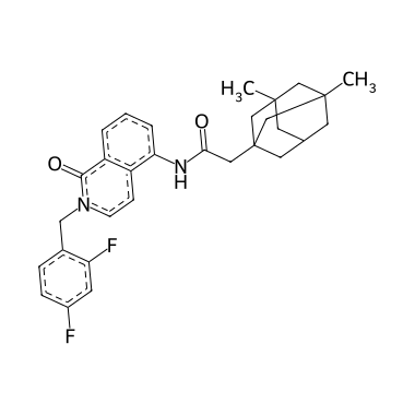 CC12CC3CC(C)(C1)CC(CC(=O)Nc1cccc4c(=O)n(Cc5ccc(F)cc5F)ccc14)(C3)C2